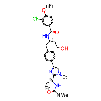 CCCOc1ccc(C(=O)N[C@H](CCO)Cc2ccc(-c3cn(CC)c([C@@H](CC(C)C)NC(=O)NC)n3)cc2)cc1Cl